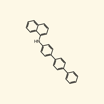 c1ccc(-c2ccc(-c3ccc(Nc4cccc5ccccc45)cc3)cc2)cc1